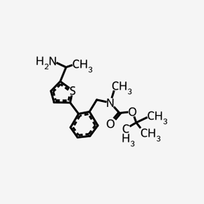 CC(N)c1ccc(-c2ccccc2CN(C)C(=O)OC(C)(C)C)s1